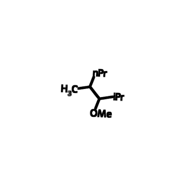 CCCC(C)C(OC)C(C)C